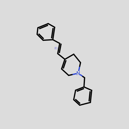 C1=C(/C=C/c2ccccc2)CCN(Cc2ccccc2)C1